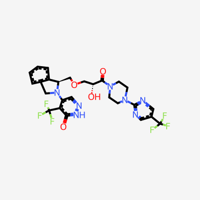 O=C([C@H](O)COC[C@@H]1c2ccccc2CN1c1cn[nH]c(=O)c1C(F)(F)F)N1CCN(c2ncc(C(F)(F)F)cn2)CC1